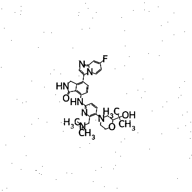 CN(C)Cc1nc(Nc2ccc(-c3cnc4cc(F)ccn34)c3c2C(=O)NC3)ccc1N1CCOC(C(C)(C)O)C1